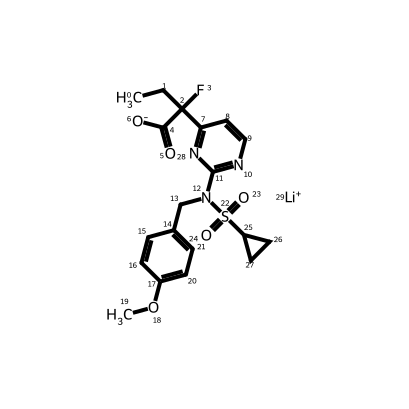 CCC(F)(C(=O)[O-])c1ccnc(N(Cc2ccc(OC)cc2)S(=O)(=O)C2CC2)n1.[Li+]